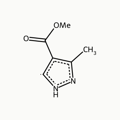 COC(=O)c1[c][nH]nc1C